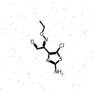 CCO/N=C(\[C]=O)c1nc(N)sc1Cl